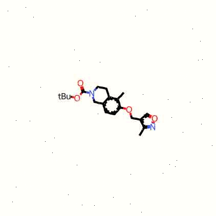 Cc1nocc1COc1ccc2c(c1C)CCN(C(=O)OC(C)(C)C)C2